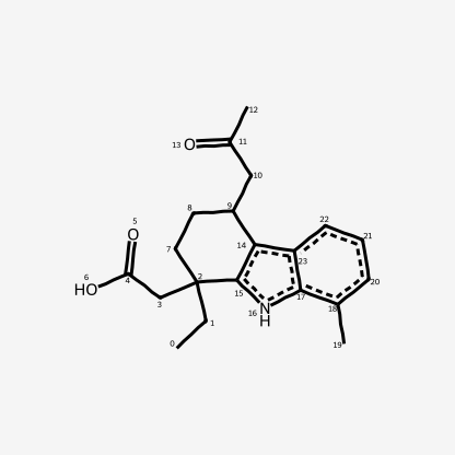 CCC1(CC(=O)O)CCC(CC(C)=O)c2c1[nH]c1c(C)cccc21